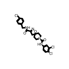 O=C(NCc1ccc(Cl)cc1)C1=NOC2(CCN(C(=O)Nc3ccc(Cl)c(Cl)c3)CC2)C1